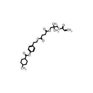 C=CC(=O)OCC(C)(C)COC(=O)CCC(=O)OCCc1ccc(OC(=O)C2CCC(C)CC2)cc1